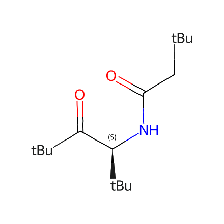 CC(C)(C)CC(=O)N[C@H](C(=O)C(C)(C)C)C(C)(C)C